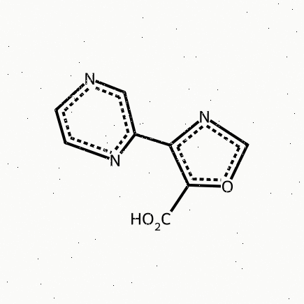 O=C(O)c1ocnc1-c1cnccn1